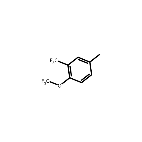 Cc1ccc(OC(F)(F)F)c(C(F)(F)F)c1